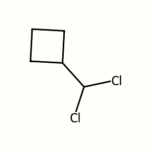 ClC(Cl)C1CCC1